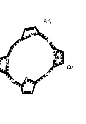 C1=Cc2cc3ccc(cc4nc(cc5ccc(cc1n2)[nH]5)C=C4)[nH]3.P.[Cu]